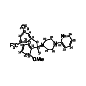 [CH2]C(Cc1cc(C(F)(F)F)cc(C(F)(F)F)c1)(c1ccccc1OC)N1CCN(c2ccccn2)CC1